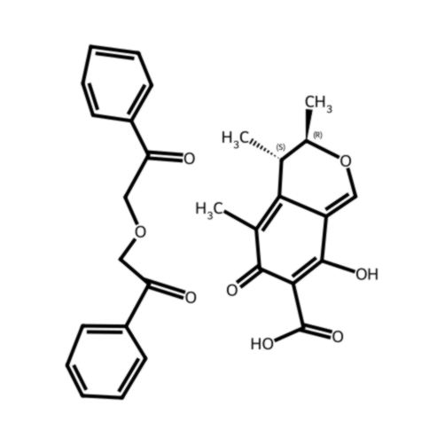 CC1=C2C(=CO[C@H](C)[C@H]2C)C(O)=C(C(=O)O)C1=O.O=C(COCC(=O)c1ccccc1)c1ccccc1